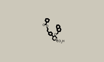 O=C(OCC=Cc1ccc(C2CCN(C(=O)O)CC2OCc2ccc3ccccc3c2)cc1)c1ccccc1